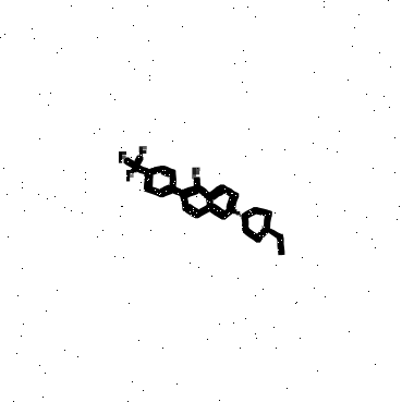 CC[C@H]1CC[C@H](c2ccc3c(F)c(-c4ccc(C(F)(F)F)cc4)ccc3c2)CC1